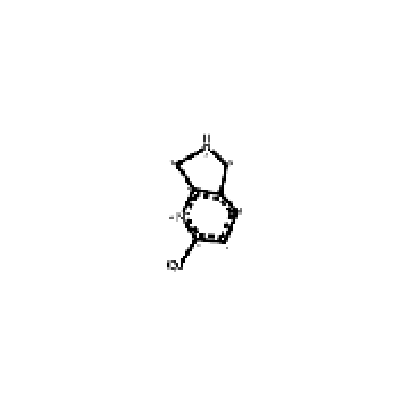 CC(C)(C)c1ccc2c(n1)CNC2